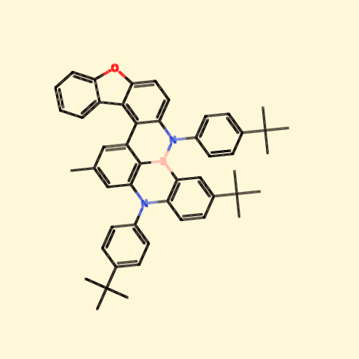 Cc1cc2c3c(c1)N(c1ccc(C(C)(C)C)cc1)c1ccc(C(C)(C)C)cc1B3N(c1ccc(C(C)(C)C)cc1)c1ccc3oc4ccccc4c3c1-2